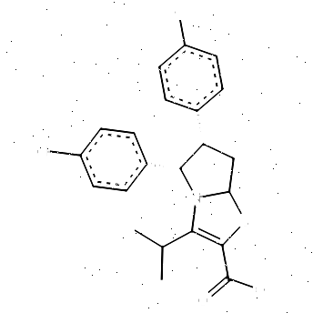 CC(C)C1=C(C(=O)O)SC2C[C@@H](c3ccc(Cl)cc3)[C@@H](c3ccc(Cl)cc3)N12